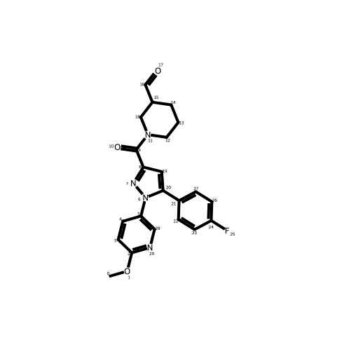 COc1ccc(-n2nc(C(=O)N3CCCC(C=O)C3)cc2-c2ccc(F)cc2)cn1